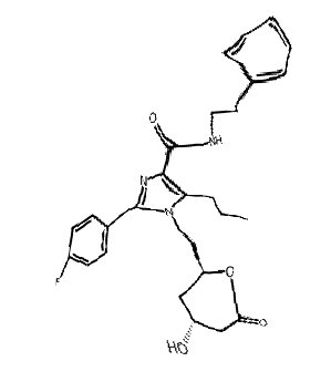 CCCc1c(C(=O)NCCc2ccccc2)nc(-c2ccc(F)cc2)n1CC[C@@H]1C[C@@H](O)CC(=O)O1